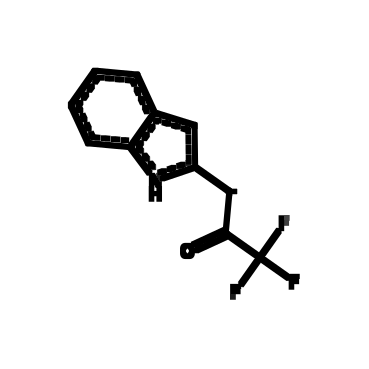 O=C([CH]c1cc2ccccc2[nH]1)C(F)(F)F